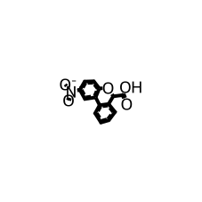 O=C(O)C1Oc2ccc([N+](=O)[O-])cc2-c2ccccc21